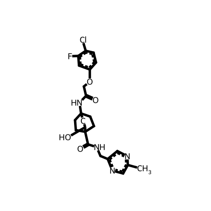 Cc1cnc(CNC(=O)C23CCC(NC(=O)COc4ccc(Cl)c(F)c4)(CC2)CC3O)cn1